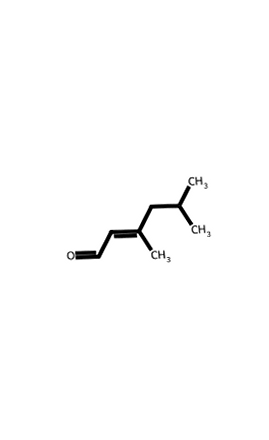 C/C(=C\C=O)CC(C)C